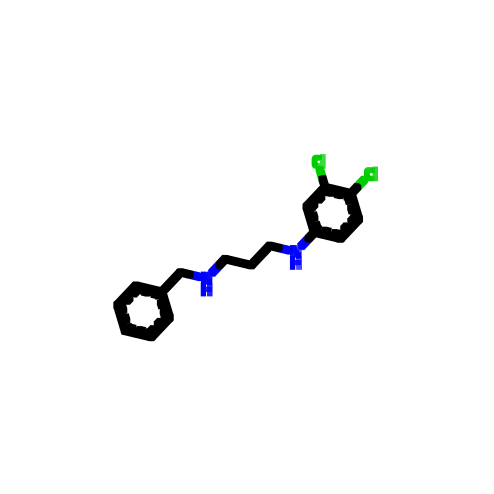 Clc1ccc(NCCCNCc2ccccc2)cc1Cl